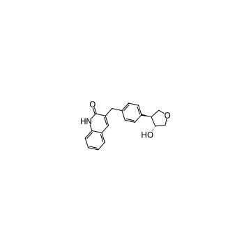 O=c1[nH]c2ccccc2cc1Cc1ccc([C@H]2COC[C@@H]2O)cc1